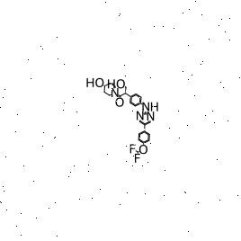 O=C([C@@H](CO)c1ccc(Nc2ncc(-c3ccc(OC(F)F)cc3)cn2)cc1)N1CCC(O)CC1